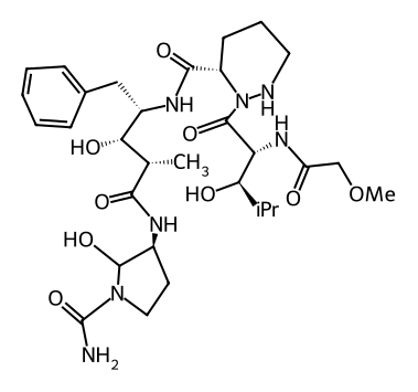 COCC(=O)N[C@@H](C(=O)N1NCCC[C@H]1C(=O)N[C@@H](Cc1ccccc1)[C@@H](O)[C@H](C)C(=O)N[C@H]1CCN(C(N)=O)C1O)[C@H](O)C(C)C